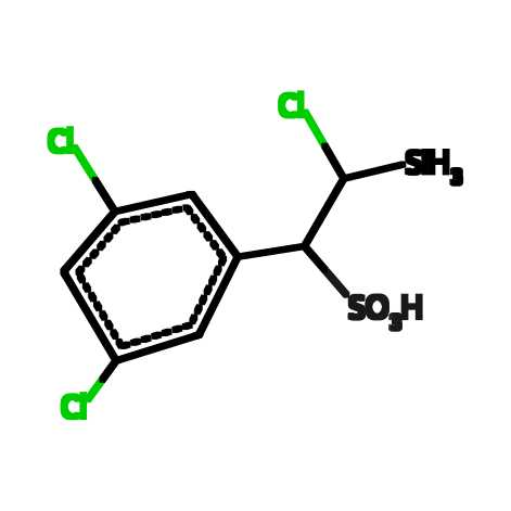 O=S(=O)(O)C(c1cc(Cl)cc(Cl)c1)C([SiH3])Cl